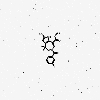 CC(C)OC(=O)C1=CN(C(=O)c2cccc(F)c2)CC(C)(C)c2cc(C#N)[nH]c21